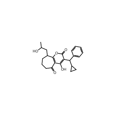 CC(O)CC1CCCC(=O)c2c1oc(=O)c(C(c1ccccc1)C1CC1)c2O